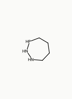 C1CCPNNC1